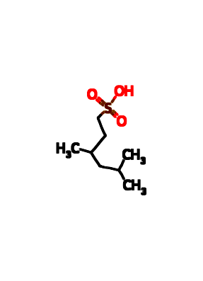 CC(C)CC(C)CCS(=O)(=O)O